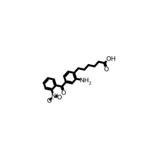 Nc1cc(C(=O)c2ccccc2[N+](=O)[O-])ccc1CCCCCC(=O)O